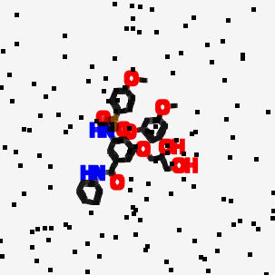 COc1ccc(S(=O)(=O)Nc2cc(C(=O)Nc3ccccc3)cc(OCC(O)CO)c2Oc2cccc(OC)c2)cc1